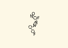 O=C1N=Cc2cc(CN3CCN(Cc4ccccc4-c4ccc(F)cc4)CC3)c(F)cc21